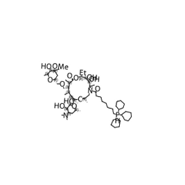 CC[C@H]1OC(=O)[C@H](C)[C@@H](COC[C@H]2C[C@@](C)(OC)[C@@H](O)[C@H](C)O2)[C@H](C)[C@@H](C[C@@H]2O[C@H](C)C[C@H](N(C)C)[C@H]2O)[C@](C)(O)C[C@@H](C)CN(C(=O)CCCCCCC[PH](C2CCCCC2)(C2CCCCC2)C2CCCCC2)[C@H](C)[C@@H](O)[C@]1(C)O